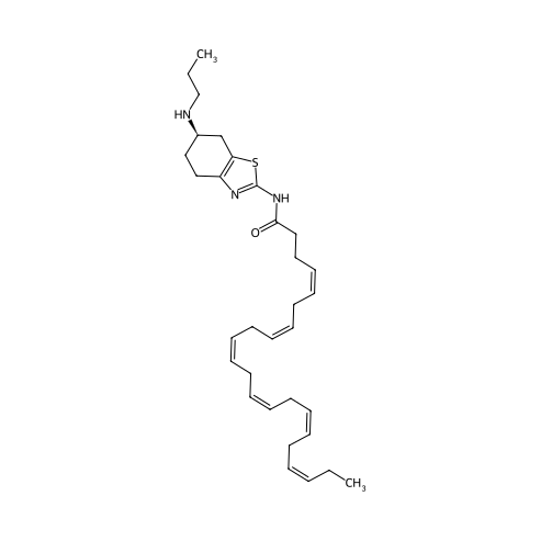 CC/C=C\C/C=C\C/C=C\C/C=C\C/C=C\C/C=C\CCC(=O)Nc1nc2c(s1)C[C@H](NCCC)CC2